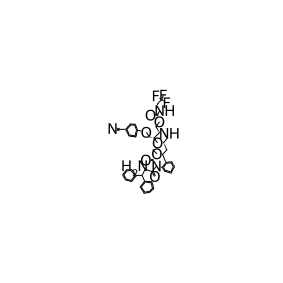 COC(=O)N(C(=O)[C@@H](N)C(c1ccccc1)c1ccccc1)c1ccccc1CC[C@@H]1CN[C@H](COC(=O)NCC(F)(F)F)[C@@H](COc2ccc(C#N)cc2)O1